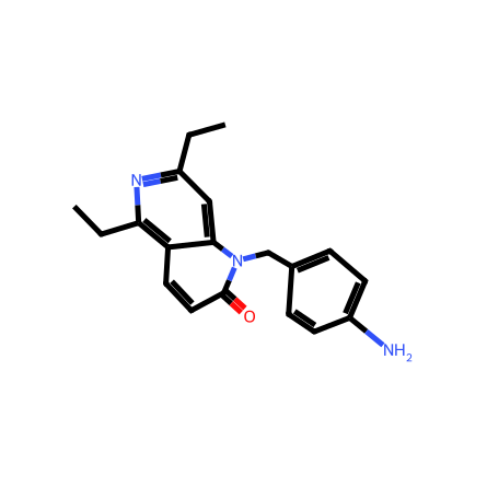 CCc1cc2c(ccc(=O)n2Cc2ccc(N)cc2)c(CC)n1